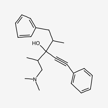 CC(Cc1ccccc1)C(O)(C#Cc1ccccc1)C(C)CN(C)C